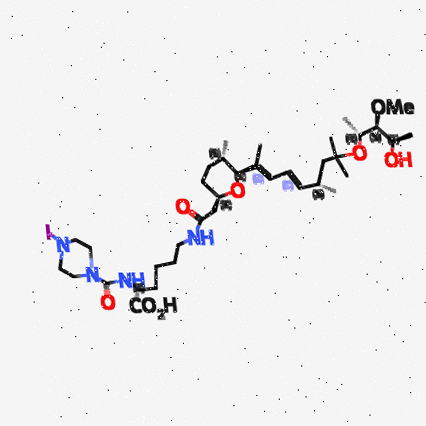 CO[C@@H]([C@@H](C)O)[C@@H](C)OC(C)(C)C[C@H](C)/C=C/C=C(\C)[C@H]1O[C@@H](CC(=O)NCCCC[C@@H](NC(=O)N2CCN(I)CC2)C(=O)O)CC[C@@H]1C